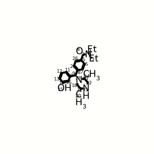 CCN(CC)C(=O)c1ccc([C@@H](c2cccc(O)c2)N2C[C@@H](C)NC[C@@H]2C)cc1